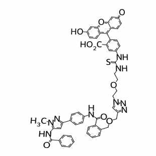 Cn1nc(-c2ccc(NC(=O)c3ccccc3COCc3cn(CCOCCNC(=S)Nc4ccc(-c5c6ccc(=O)cc-6oc6cc(O)ccc56)c(C(=O)O)c4)nn3)cc2)cc1NC(=O)c1ccccc1